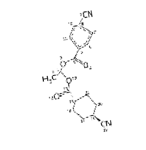 CC(OC(=O)c1ccc(C#N)cc1)OC(=O)[C@H]1CC[C@H](C#N)CC1